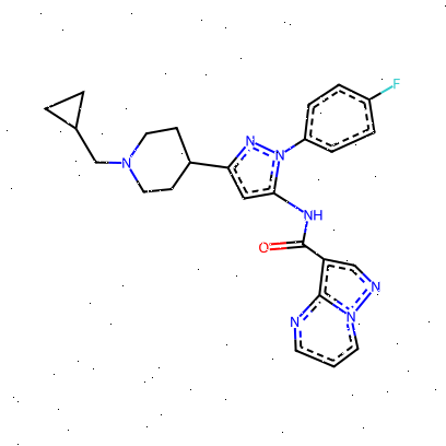 O=C(Nc1cc(C2CCN(CC3CC3)CC2)nn1-c1ccc(F)cc1)c1cnn2cccnc12